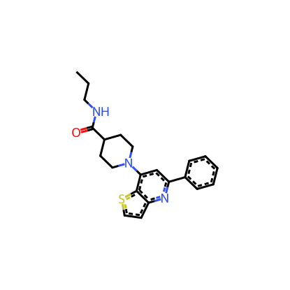 CCCNC(=O)C1CCN(c2cc(-c3ccccc3)nc3ccsc23)CC1